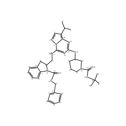 CC(C)c1cnn2c(NCC3Cc4ccccc4N3C(=O)OCc3ccccc3)nc(OC3CCCN(C(=O)OC(C)(C)C)C3)nc12